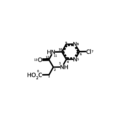 O=C(O)CC1Nc2nc(Cl)ncc2NC1=O